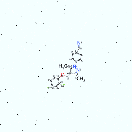 Cc1nn(-c2ccc(C#N)cc2)c(C)c1COc1ccc(F)cc1F